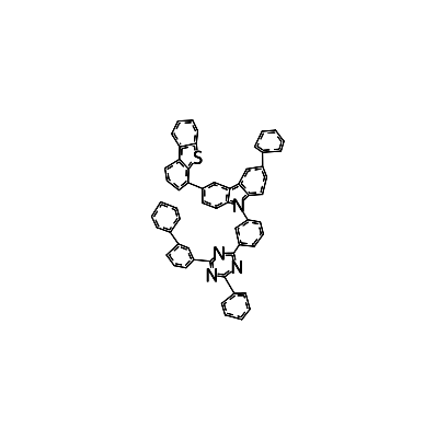 c1ccc(-c2cccc(-c3nc(-c4ccccc4)nc(-c4cccc(-n5c6ccc(-c7ccccc7)cc6c6cc(-c7cccc8c7sc7ccccc78)ccc65)c4)n3)c2)cc1